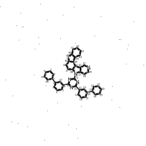 c1ccc(-c2cccc(-c3nc(-c4cccc(-c5ccccc5)c4)nc(-n4c5ccncc5c5c6c(ccc54)sc4ccccc46)n3)c2)cc1